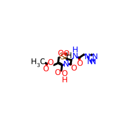 CC(=O)OCC1=C(C(=O)O)N2C(=O)[C@H](NC(=O)Cn3cnnn3)[C@@H]2S(=O)(=O)C1